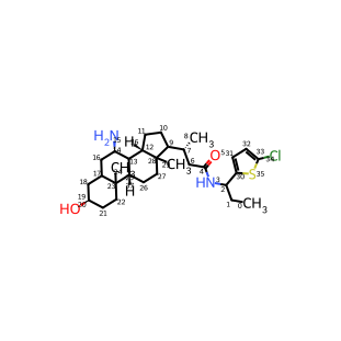 CCC(NC(=O)C[C@@H](C)C1CC[C@H]2C3[C@H](N)CC4C[C@H](O)CCC4(C)[C@H]3CCC12C)c1ccc(Cl)s1